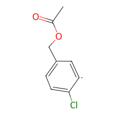 CC(=O)OCc1c[c]c(Cl)cc1